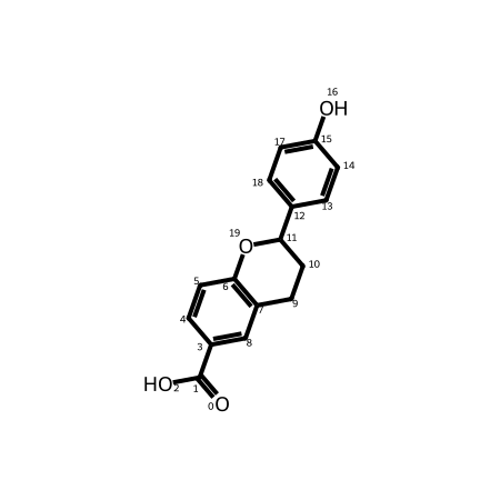 O=C(O)c1ccc2c(c1)CCC(c1ccc(O)cc1)O2